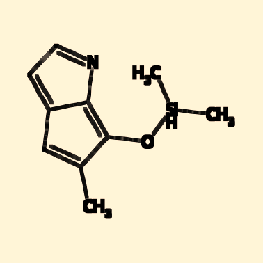 CC1=CC2=CC=NC2=C1O[SiH](C)C